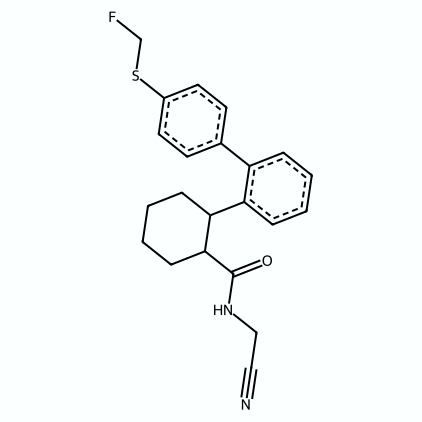 N#CCNC(=O)C1CCCCC1c1ccccc1-c1ccc(SCF)cc1